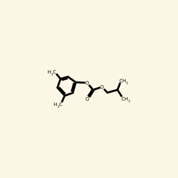 Cc1cc(C)cc(OC(=O)OCC(C)C)c1